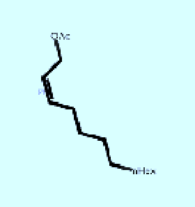 CCCCCCCCCC/C=C\COC(C)=O